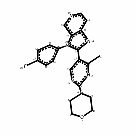 Cc1nc(N2CCOCC2)ncc1-c1nc2ccncc2n1-c1ccc(F)cc1